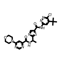 CC(NC(=O)c1cc(N2CCOCC2)ncn1)c1ncc(C(=O)Nc2cc(C(C)(C)C)c(Cl)nn2)s1